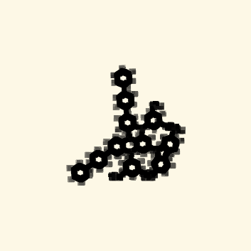 CC(C)(C)c1cc(N2c3cc(-c4ccc(-c5ccccc5)cc4)ccc3B3c4ccc(-c5ccc(-c6ccccc6)cc5)cc4N(c4cc(C(C)(C)C)cc(C(C)(C)C)c4)c4cc(-n5c6cc(C(C)(C)C)ccc6c6ccc(C(C)(C)C)cc65)cc2c43)cc(C(C)(C)C)c1